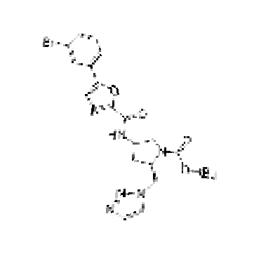 CC(C)(C)OC(=O)N1CC(NC(=O)c2ncc(-c3cccc(Br)c3)o2)C[C@@H]1Cn1ccnn1